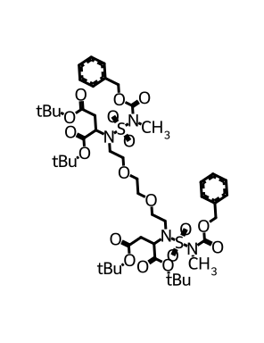 CN(C(=O)OCc1ccccc1)S(=O)(=O)N(CCOCCOCCN(C(CC(=O)OC(C)(C)C)C(=O)OC(C)(C)C)S(=O)(=O)N(C)C(=O)OCc1ccccc1)C(CC(=O)OC(C)(C)C)C(=O)OC(C)(C)C